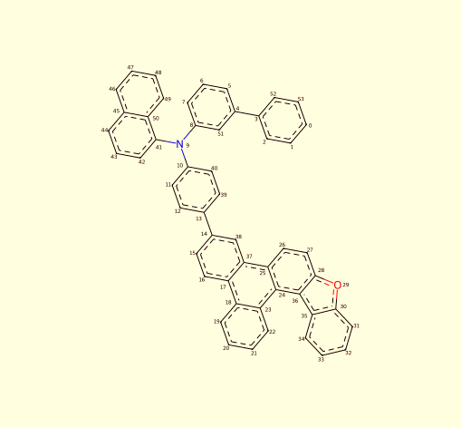 c1ccc(-c2cccc(N(c3ccc(-c4ccc5c6ccccc6c6c(ccc7oc8ccccc8c76)c5c4)cc3)c3cccc4ccccc34)c2)cc1